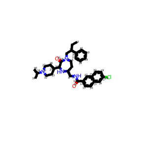 CCC(CN1CCC(CNC(=O)c2ccc3cc(Cl)ccc3c2)NC(C2CCN(C(C)C)CC2)C1=O)c1ccccc1